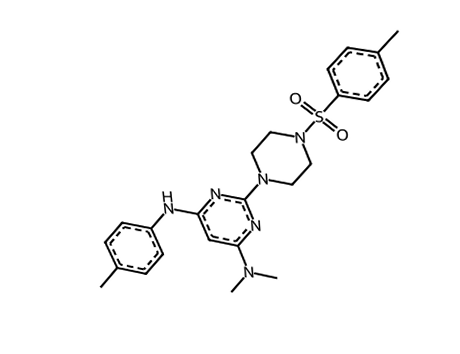 Cc1ccc(Nc2cc(N(C)C)nc(N3CCN(S(=O)(=O)c4ccc(C)cc4)CC3)n2)cc1